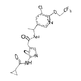 CC(NC(=O)c1cnc(NC(=O)C2CC2)o1)c1cnc(OCC(F)(F)F)c(Cl)c1